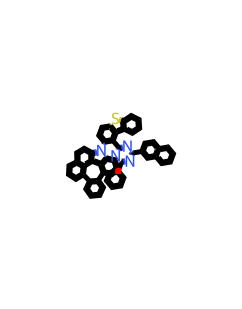 c1ccc(-c2nc(-c3ccc4ccccc4c3)nc(-c3c(-n4c5cccc6c5c5c7c(cccc7ccc54)-c4ccccc4-6)ccc4sc5ccccc5c34)n2)cc1